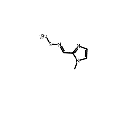 Cn1ccnc1/C=N/SC(C)(C)C